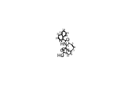 O=C(NC1C/C=C\CC2CCC(C(=O)O)N2C1=O)c1nccc2ccccc12